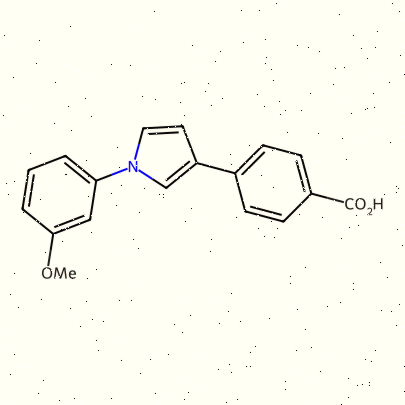 COc1cccc(-n2ccc(-c3ccc(C(=O)O)cc3)c2)c1